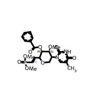 CO[C@H]1C(n2cc(C)c(=O)[nH]c2=O)COC(/C=C/P(=O)(OC)OC)[C@H]1OC(=O)c1ccccc1